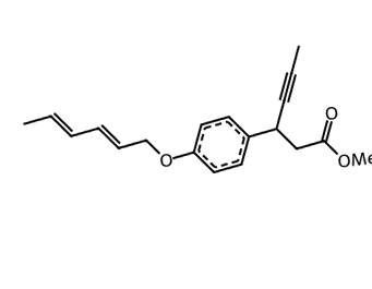 CC#CC(CC(=O)OC)c1ccc(OC/C=C/C=C/C)cc1